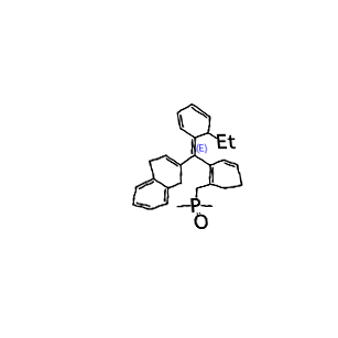 CCC1C=CC=C/C1=C(\C1=CCc2ccccc2C1)C1=C(CP(C)(C)=O)CCC=C1